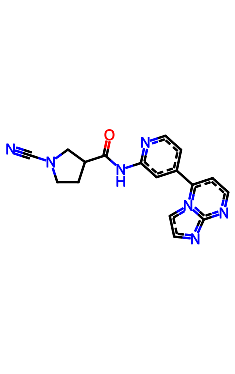 N#CN1CCC(C(=O)Nc2cc(-c3ccnc4nccn34)ccn2)C1